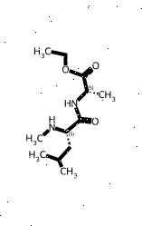 CCOC(=O)[C@H](C)NC(=O)[C@H](CC(C)C)NC